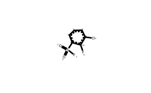 O=S(=O)(F)c1cccc(Cl)c1F